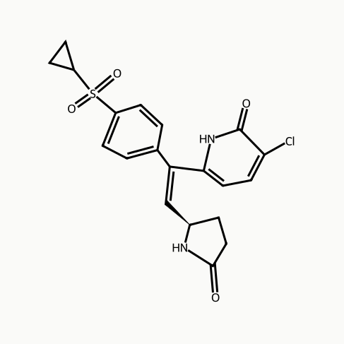 O=C1CC[C@H](/C=C(/c2ccc(S(=O)(=O)C3CC3)cc2)c2ccc(Cl)c(=O)[nH]2)N1